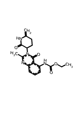 C=C1CCC(n2c(C)nc3cccc(NC(=O)OCC)c3c2=O)C(=O)N1